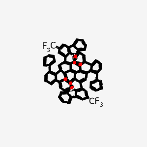 FC(F)(F)c1cc2c3c(c1)-c1cc(-c4c(-c5ccccc5)cccc4-c4ccccc4)c4cc5c6c(cc(-c7c(-c8ccccc8)cccc7-c7ccccc7)c7cc(c1c4c76)B3c1ccccc1-2)-c1cc(C(F)(F)F)cc2c1B5c1ccccc1-2